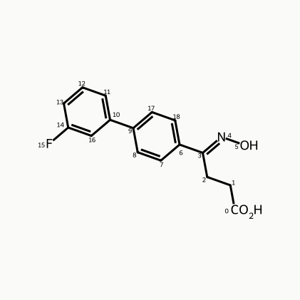 O=C(O)CCC(=NO)c1ccc(-c2cccc(F)c2)cc1